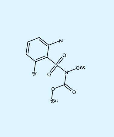 CC(=O)ON(C(=O)OC(C)(C)C)S(=O)(=O)c1c(Br)cccc1Br